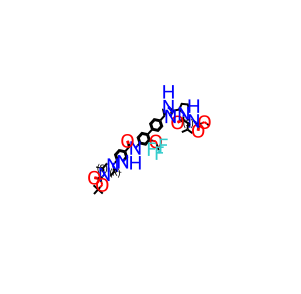 COC(=O)N[C@H](C(=O)N1CCCC1c1nc(-c2ccc(-c3ccc(NC(=O)c4ccc(N5C[C@H](C)N(C(=O)OC(C)(C)C)C[C@H]5C)nc4)cc3OC(F)(F)F)cc2)c[nH]1)C(C)C